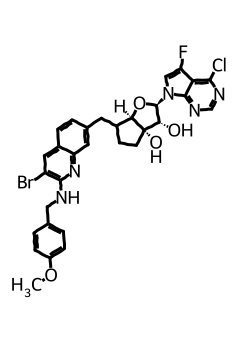 COc1ccc(CNc2nc3cc(CC4CC[C@@]5(O)[C@@H]4O[C@@H](n4cc(F)c6c(Cl)ncnc64)[C@@H]5O)ccc3cc2Br)cc1